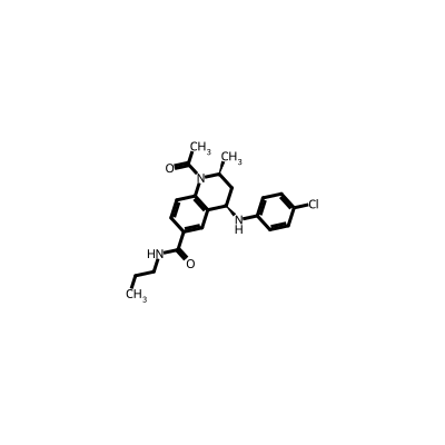 CCCNC(=O)c1ccc2c(c1)[C@H](Nc1ccc(Cl)cc1)C[C@H](C)N2C(C)=O